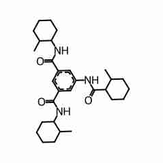 CC1CCCCC1NC(=O)c1cc(NC(=O)C2CCCCC2C)cc(C(=O)NC2CCCCC2C)c1